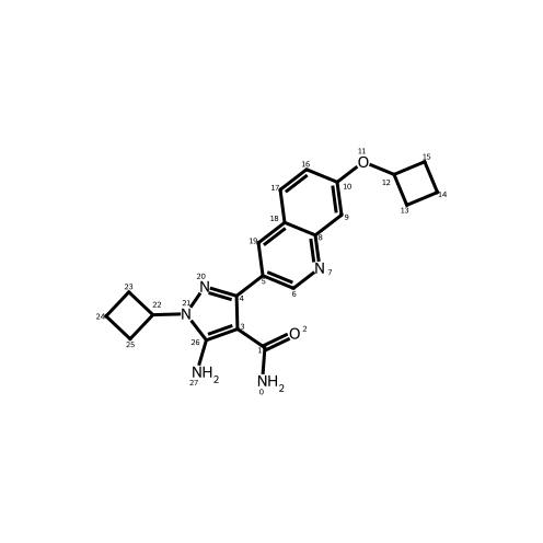 NC(=O)c1c(-c2cnc3cc(OC4CCC4)ccc3c2)nn(C2CCC2)c1N